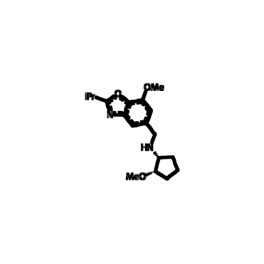 COc1cc(CN[C@@H]2CCC[C@@H]2OC)cc2nc(C(C)C)oc12